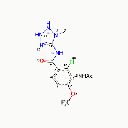 CC(=O)Nc1c(OC(F)(F)F)ccc(C(=O)NC2=NNNN2C)c1Cl